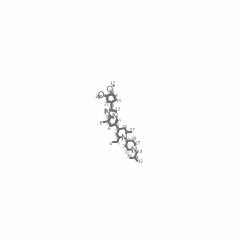 CCC1CC(c2cc(C)c3nc(-c4ccc(OC)c(OC)c4)cn3c2)CC(C)N1C1CCN(CC(C)C)CC1